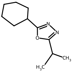 CC(C)c1nnc(C2CCCCC2)o1